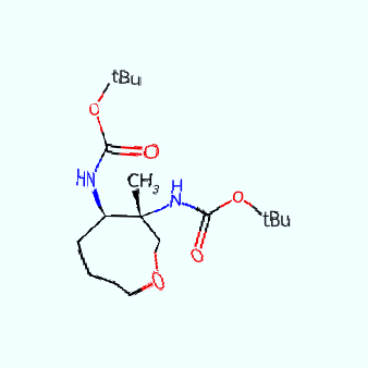 CC(C)(C)OC(=O)N[C@@H]1CCCOC[C@@]1(C)NC(=O)OC(C)(C)C